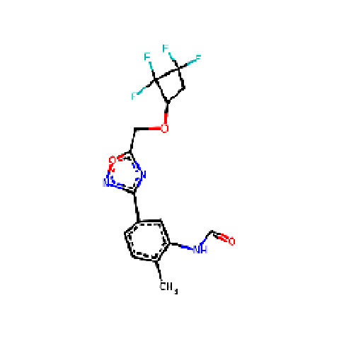 Cc1ccc(-c2noc(COC3CC(F)(F)C3(F)F)n2)cc1NC=O